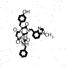 CN1CC(=O)N2[C@@H](Cc3ccc(O)cc3)C(=O)N(Cc3cccc4c3ncn4C)C[C@@H]2N1C(=O)NCc1ccccc1